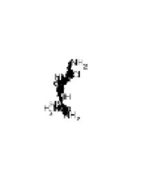 C[C@H](N)CCCc1cc(Cl)c(F)c(-c2cc3cn(-c4ccc([C@H](C)NCC[C@@H](CNC(=O)CN)NC(=N)N)cc4)c(=O)nc3[nH]2)c1